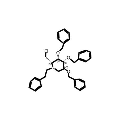 ClC[C@@H]1[C@@H](OCc2ccccc2)[C@H](OCc2ccccc2)[C@@H](OCc2ccccc2)CN1CCc1ccccc1